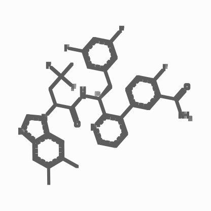 Cc1cc2ncn(C(CC(C)(F)F)C(=O)N[C@@H](Cc3cc(F)cc(F)c3)c3ncccc3-c3ccc(F)c(C(N)=O)c3)c2cc1C